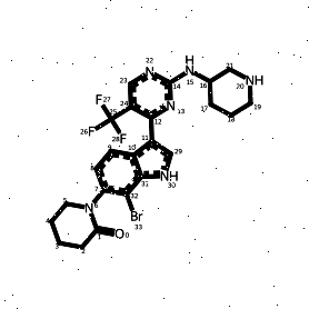 O=C1CCCCN1c1ccc2c(-c3nc(NC4CCCNC4)ncc3C(F)(F)F)c[nH]c2c1Br